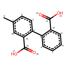 Cc1ccc(-c2ccccc2C(=O)O)c(C(=O)O)c1